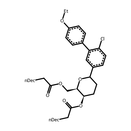 CCCCCCCCCCCC(=O)OC[C@H]1OC(c2ccc(Cl)c(-c3ccc(OCC)cc3)c2)CC[C@H]1OC(=O)CCCCCCCCCCC